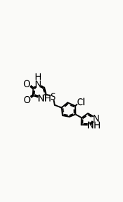 O=c1[nH]cc(SCc2ccc(-c3cn[nH]c3)c(Cl)c2)[nH]c1=O